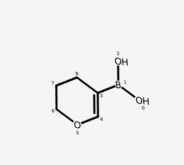 OB(O)C1=COCCC1